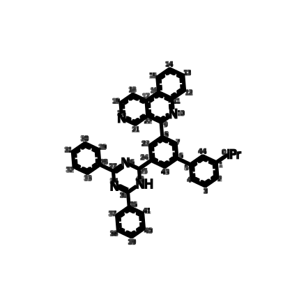 CC(C)c1cccc(-c2cc(-c3nc4ccccc4c4ccncc34)cc(C3N=C(c4ccccc4)N=C(c4ccccc4)N3)c2)c1